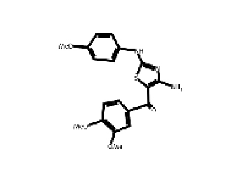 COc1ccc(Nc2nc(N)c(C(=O)c3ccc(OC)c(OC)c3)s2)cc1